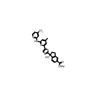 COC(=O)c1ccc2c(c1)CC[C@@]2(O)c1ncc(-c2cc(C)cc(Nc3cc(C(F)(F)F)ccn3)n2)s1